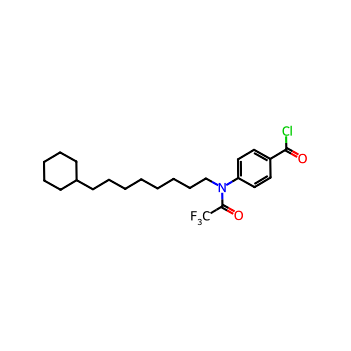 O=C(Cl)c1ccc(N(CCCCCCCCC2CCCCC2)C(=O)C(F)(F)F)cc1